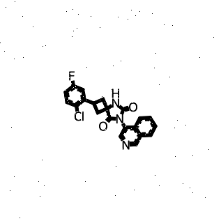 O=C1NC2(CC(c3cc(F)ccc3Cl)C2)C(=O)N1c1cncc2ccccc12